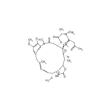 COc1cc2cc(c1Cl)N(C)C(=O)C[C@H](OC(=O)[C@H](C)N(C)C(=O)CC(C)=O)[C@]1(C)O[C@H]1[C@H](C)C1C[C@@](O)(NC(=O)O1)[C@H](OC)/C=C/C=C(\C)C2